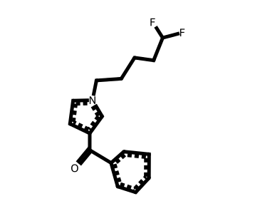 O=C(c1ccccc1)c1ccn(CCCCC(F)F)c1